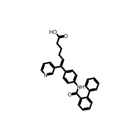 O=C(O)CCC/C=C(/c1ccc(NC(=O)c2ccccc2-c2ccccc2)cc1)c1cccnc1